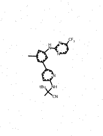 Cc1cc(Nc2nccc(C(F)(F)F)n2)cc(-c2ccc(NC(C)(C#N)C(C)(C)C)nc2)c1